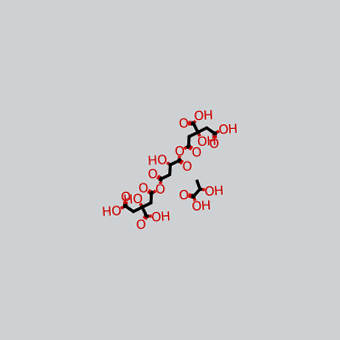 CC(O)C(=O)O.O=C(O)CC(O)(CC(=O)OC(=O)CC(O)C(=O)OC(=O)CC(O)(CC(=O)O)C(=O)O)C(=O)O